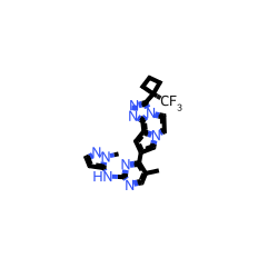 Cc1cnc(Nc2ccnn2C)nc1-c1cc2c3nnc(C4(C(F)(F)F)CCC4)n3ccn2c1